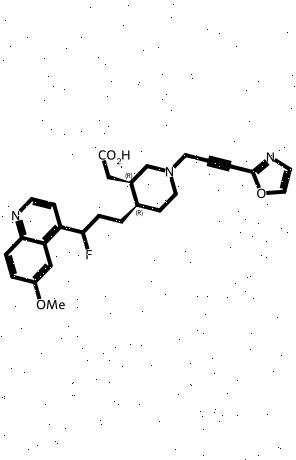 COc1ccc2nccc(C(F)CC[C@@H]3CCN(CC#Cc4ncco4)C[C@@H]3CC(=O)O)c2c1